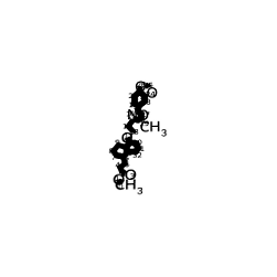 COC(=O)CCC1=CCCc2c(OCCc3nc(-c4ccc5c(c4)OCO5)oc3C)cccc21